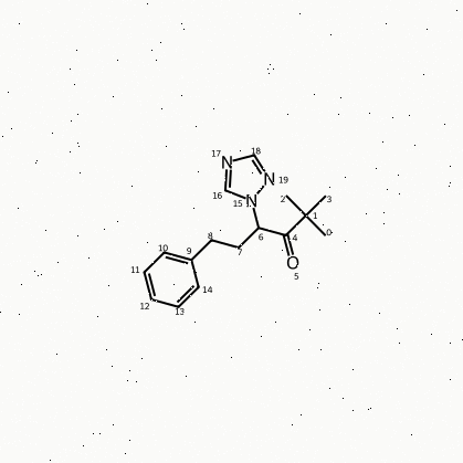 CC(C)(C)C(=O)C(CCc1ccccc1)n1cncn1